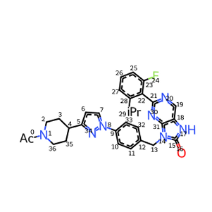 CC(=O)N1CCC(c2ccn(-c3ccc(Cn4c(=O)[nH]c5cnc(-c6c(F)cccc6C(C)C)nc54)cc3)n2)CC1